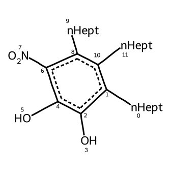 CCCCCCCc1c(O)c(O)c([N+](=O)[O-])c(CCCCCCC)c1CCCCCCC